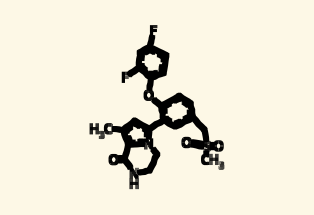 Cc1cc(-c2cc(CS(C)(=O)=O)ccc2Oc2ccc(F)cc2F)n2c1C(=O)NCC2